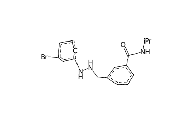 CC(C)NC(=O)c1cccc(CNNc2cccc(Br)c2)c1